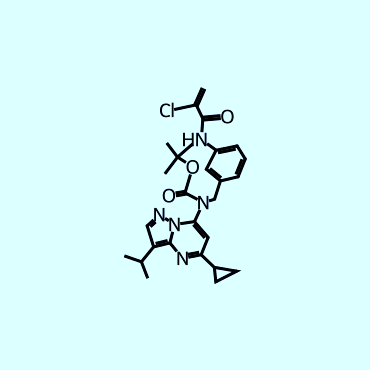 C=C(Cl)C(=O)Nc1cccc(CN(C(=O)OC(C)(C)C)c2cc(C3CC3)nc3c(C(C)C)cnn23)c1